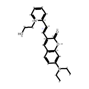 CCN(CC)c1ccc2cc(/C=C/c3cccc[n+]3CCO)c(=O)oc2c1